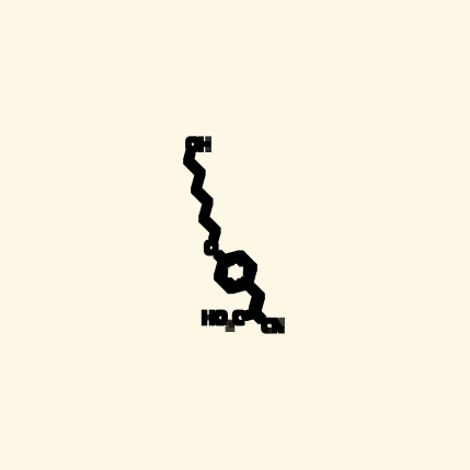 N#CC(=Cc1ccc(OCCCCCCO)cc1)C(=O)O